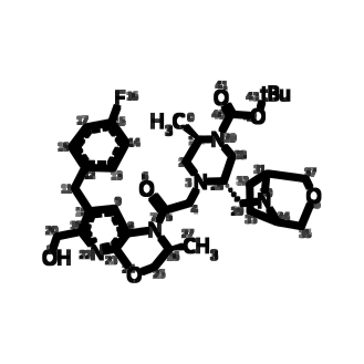 C[C@@H]1CN(CC(=O)N2c3cc(Cc4ccc(F)cc4)c(CO)nc3OC[C@@H]2C)[C@@H](CN2C3CCC2COC3)CN1C(=O)OC(C)(C)C